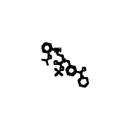 CC(C)Oc1ccccc1NCCN(Cc1cccc(C(=O)N2CCCCC2)c1)C(=O)OC(C)(C)C